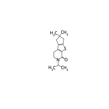 CC(C)N1CCc2c(sc3c2CC(C)(C)C3)C1=O